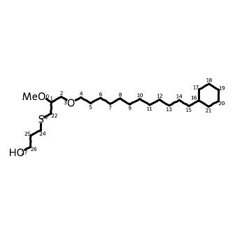 COC(COCCCCCCCCCCCCC1CCCCC1)CSCCCO